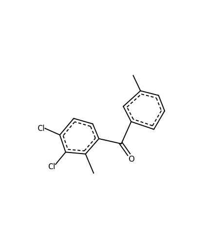 Cc1cccc(C(=O)c2ccc(Cl)c(Cl)c2C)c1